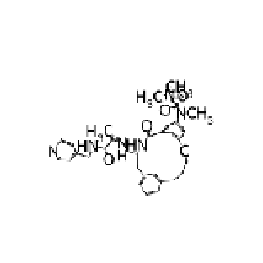 C[C@H](NCC1Cc2cccc(c2)CCCCc2cc(cc(N(C)S(=O)(=O)N(C)C)c2)C(=O)N1)C(=O)NCc1ccncc1